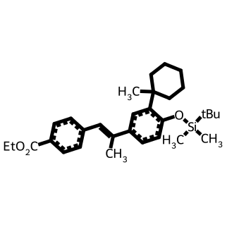 CCOC(=O)c1ccc(/C=C(\C)c2ccc(O[Si](C)(C)C(C)(C)C)c(C3(C)CCCCC3)c2)cc1